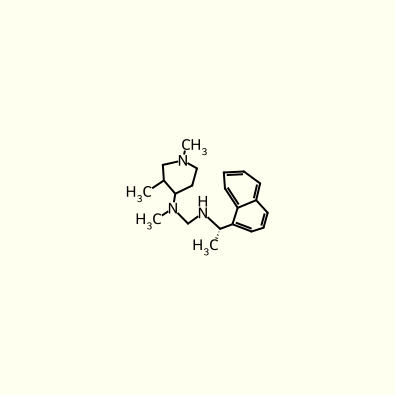 CC1CN(C)CCC1N(C)CN[C@@H](C)c1cccc2ccccc12